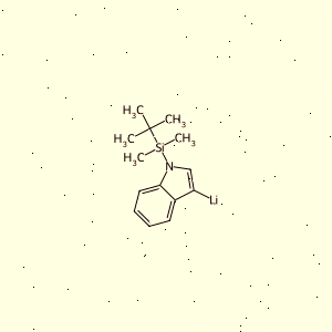 [Li][c]1cn([Si](C)(C)C(C)(C)C)c2ccccc12